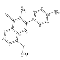 O=C(O)Cc1cccc2c(=O)c([N+](=O)[O-])c(-c3ccc([N+](=O)[O-])cc3)oc12